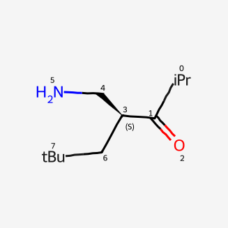 CC(C)C(=O)[C@H](CN)CC(C)(C)C